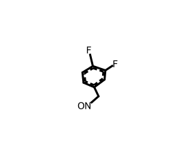 O=NCc1ccc(F)c(F)c1